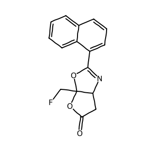 O=C1CC2N=C(c3cccc4ccccc34)OC2(CF)O1